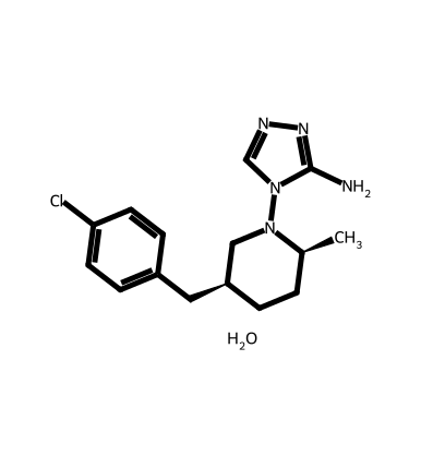 C[C@H]1CC[C@@H](Cc2ccc(Cl)cc2)CN1n1cnnc1N.O